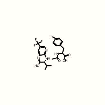 CC(=O)NC(Cc1ccc(F)cc1)C(=O)O.CC(C)[C@H](Nc1ccc(C(F)(F)F)cn1)C(=O)O